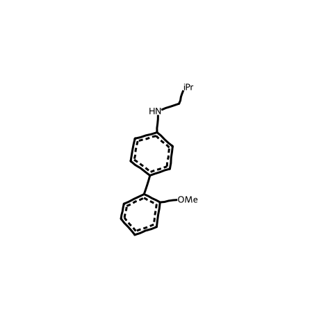 COc1ccccc1-c1ccc(NCC(C)C)cc1